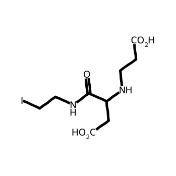 O=C(O)CCNC(CC(=O)O)C(=O)NCCI